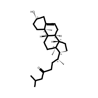 CC(C)CC(=O)CC[C@@H](C)[C@H]1CC[C@H]2[C@@H]3CC=C4C[C@@H](O)CC[C@]4(C)[C@H]3CC[C@]12C